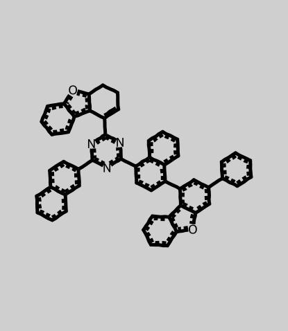 C1=C(c2nc(-c3ccc4ccccc4c3)nc(-c3ccc(-c4cc(-c5ccccc5)cc5oc6ccccc6c45)c4ccccc34)n2)c2c(oc3ccccc23)CC1